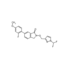 COc1ccc(-c2ccc3c(c2)C(=O)N(OCc2ccn(C(F)F)n2)C3)c(F)c1